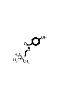 C[N+](C)(C)CCO[PH](=O)c1ccc(O)cc1